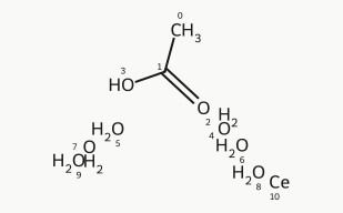 CC(=O)O.O.O.O.O.O.O.[Ce]